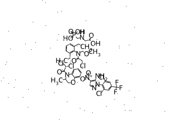 CC1COc2ccccc2N1C(=O)C(Cl)Cl.CCc1cccc(CC)c1N(COC)C(=O)CCl.Nc1c([N+](=O)[O-])cnn1-c1c(Cl)cc(C(F)(F)F)cc1Cl.O=C(O)CNCP(=O)(O)O